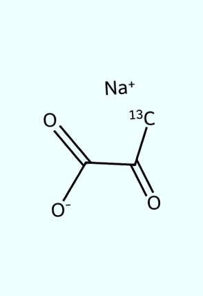 [13CH3]C(=O)C(=O)[O-].[Na+]